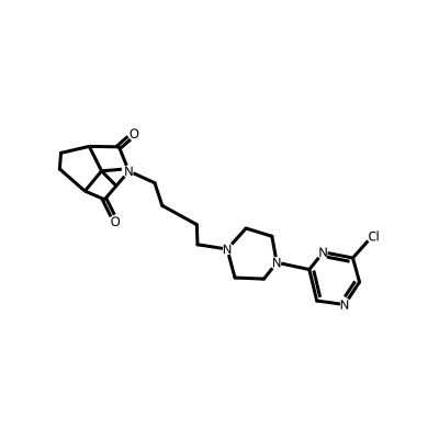 CC1(C)C2CCC1C(=O)N(CCCCN1CCN(c3cncc(Cl)n3)CC1)C2=O